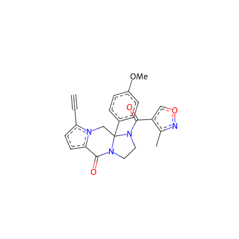 C#Cc1ccc2n1CC1(c3ccc(OC)cc3)N(C(=O)c3conc3C)CCN1C2=O